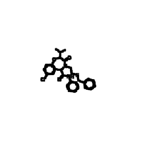 CC(C)C1Oc2ccc(Cl)cc2C(C(=O)Nc2ccccc2)N(CCSCc2ccccc2)C1=O